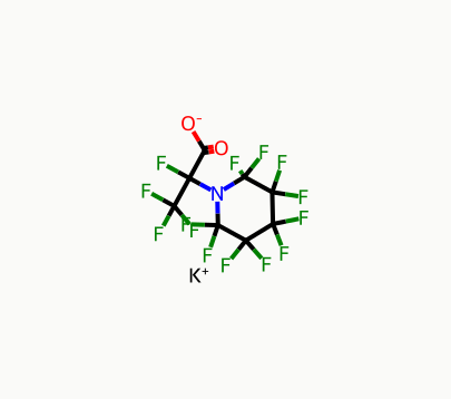 O=C([O-])C(F)(N1C(F)(F)C(F)(F)C(F)(F)C(F)(F)C1(F)F)C(F)(F)F.[K+]